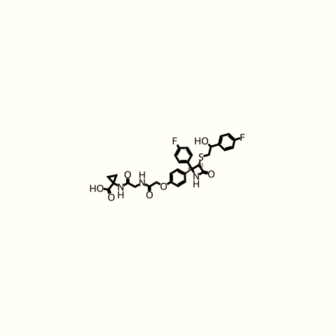 O=C(COc1ccc([C@]2(c3ccc(F)cc3)NC(=O)[C@@H]2SCC(O)c2ccc(F)cc2)cc1)NCC(=O)NC1(C(=O)O)CC1